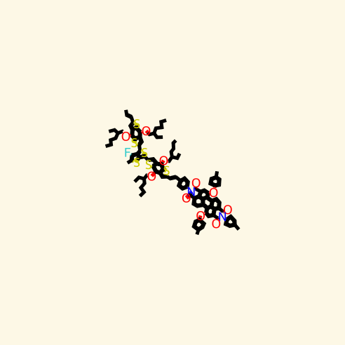 C/C=C/c1cc2c(OCC(CC)CCCC)c3sc(-c4sc(-c5cc6c(OCC(CC)CCCC)c7sc(/C=C/c8ccc(N9C(=O)c%10ccc%11c%12c(Oc%13ccc(C)cc%13)cc%13c%14c(ccc(c%15c(Oc%16ccc(C)cc%16)cc(c%10c%11%15)C9=O)c%14%12)C(=O)N(c9ccc(C)cc9)C%13=O)cc8)cc7c(OCC(CC)CCCC)c6s5)c5sc(C)c(F)c45)cc3c(OCC(CC)CCCC)c2s1